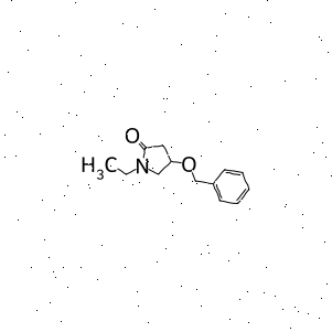 CCN1CC(OCc2ccccc2)CC1=O